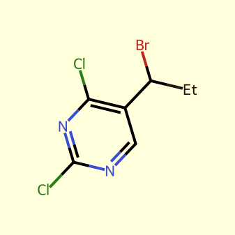 CCC(Br)c1cnc(Cl)nc1Cl